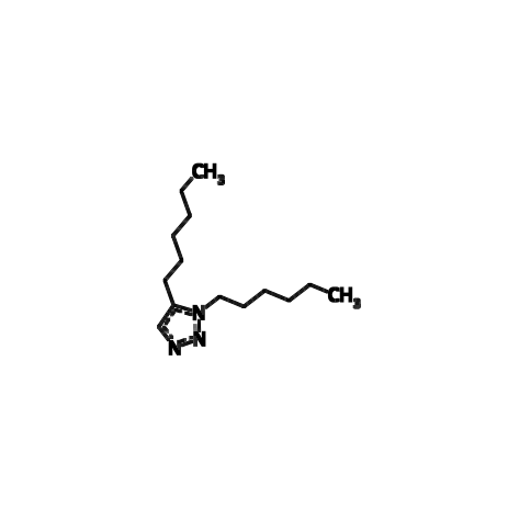 CCCCCCc1cnnn1CCCCCC